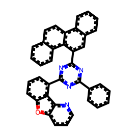 c1ccc(-c2nc(-c3cc4ccccc4c4ccc5ccccc5c34)nc(-c3cccc4oc5cccnc5c34)n2)cc1